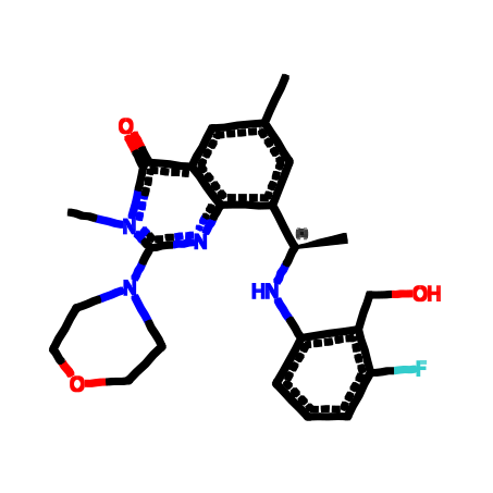 Cc1cc([C@@H](C)Nc2cccc(F)c2CO)c2nc(N3CCOCC3)n(C)c(=O)c2c1